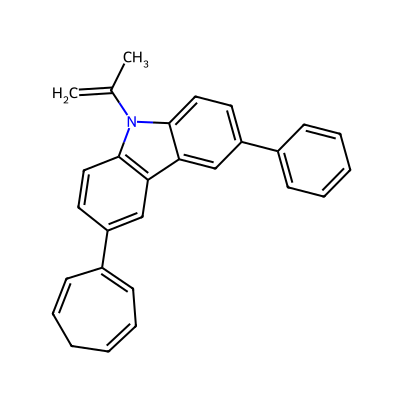 C=C(C)n1c2ccc(C3=CC=CCC=C3)cc2c2cc(-c3ccccc3)ccc21